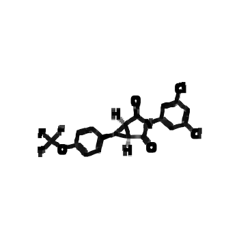 O=C1[C@@H]2[C@H](C(=O)N1c1cc(Cl)cc(Cl)c1)[C@@H]2c1ccc(OC(F)(F)F)cc1